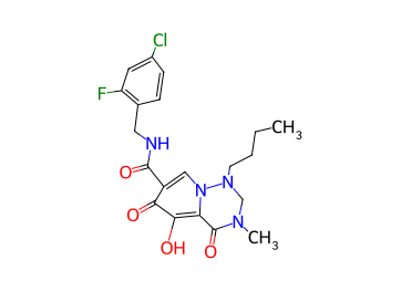 CCCCN1CN(C)C(=O)c2c(O)c(=O)c(C(=O)NCc3ccc(Cl)cc3F)cn21